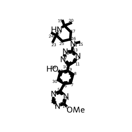 COc1ncnc(-c2ccc(-c3cnc(N(C)C4CC(C)(C)NC(C)(C)C4)nn3)c(O)c2)n1